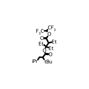 CCC(C(=O)OC(C(F)(F)F)C(F)(F)F)C(CC)(CC)OC(=O)C(CC(C)C)C(C)(C)C